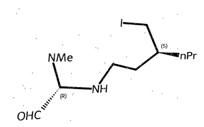 CCC[C@H](CI)CCN[C@H](C=O)NC